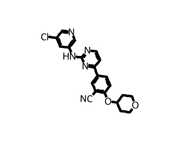 N#Cc1cc(-c2ccnc(Nc3cncc(Cl)c3)n2)ccc1OC1CCOCC1